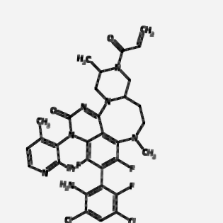 C=CC(=O)N1CC2CCN(C)c3c(F)c(-c4c(N)c(Cl)cc(Cl)c4F)c(F)c4c3c(nc(=O)n4-c3c(C)ccnc3C(C)C)N2CC1C